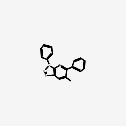 Cc1cc2nnn(-c3ccccc3)c2nc1-c1ccccc1